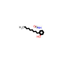 CCCCCCCCCc1ccccc1O.N=C=O